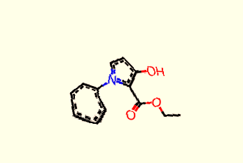 CCOC(=O)c1c(O)ccn1-c1ccccc1